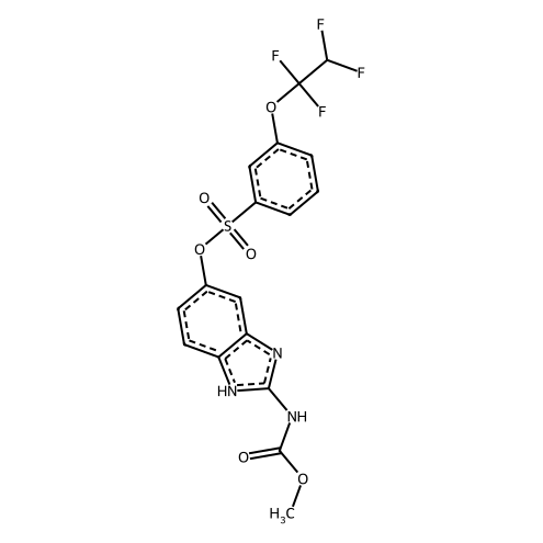 COC(=O)Nc1nc2cc(OS(=O)(=O)c3cccc(OC(F)(F)C(F)F)c3)ccc2[nH]1